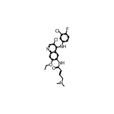 CCOc1cc2ncc(Cl)c(Nc3ccc(F)c(Cl)c3)c2cc1NC(=O)/C=C/CN(C)C